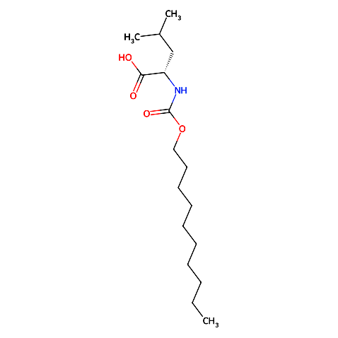 CCCCCCCCCCOC(=O)N[C@@H](CC(C)C)C(=O)O